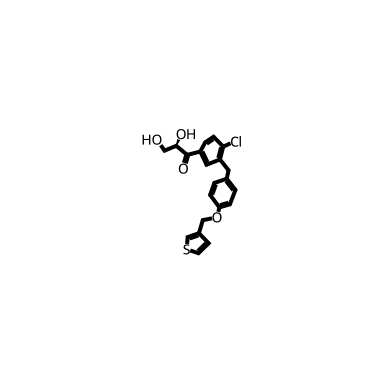 O=C(c1ccc(Cl)c(Cc2ccc(OCc3ccsc3)cc2)c1)[C@H](O)CO